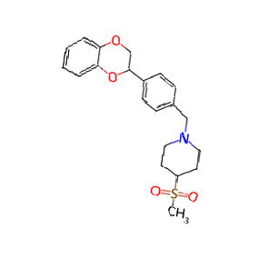 CS(=O)(=O)C1CCN(Cc2ccc(C3COc4ccccc4O3)cc2)CC1